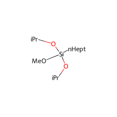 CCCCCCC[Si](OC)(OC(C)C)OC(C)C